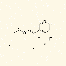 CCOC=Cc1cn[c]cc1C(F)(F)F